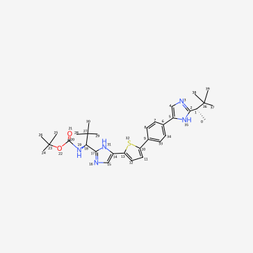 C[C@H](c1ncc(-c2ccc(-c3ccc(-c4cnc([C@@H](NC(=O)OC(C)(C)C)C(C)(C)C)[nH]4)s3)cc2)[nH]1)C(C)(C)C